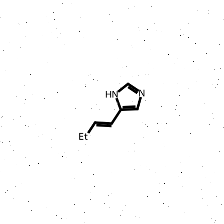 CC/C=C/c1cnc[nH]1